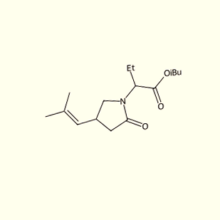 CCC(C(=O)OCC(C)C)N1CC(C=C(C)C)CC1=O